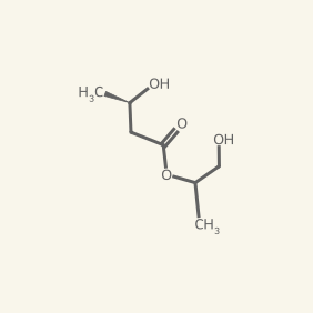 CC(CO)OC(=O)C[C@@H](C)O